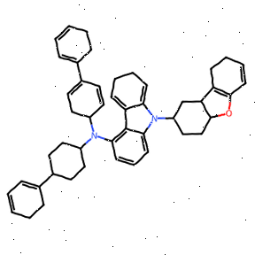 C1=CCCC(C2=CCC(N(c3cccc4c3c3c(n4C4CCC5OC6=C(CCC=C6)C5C4)=CCCC=3)C3CCC(C4=CC=CCC4)CC3)C=C2)=C1